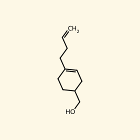 C=CCCC1=CCC(CO)CC1